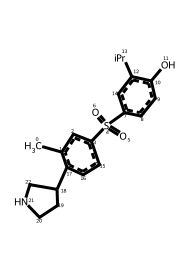 Cc1cc(S(=O)(=O)c2ccc(O)c(C(C)C)c2)ccc1C1CCNC1